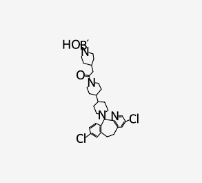 CB(O)N1CCC(CC(=O)N2CCC(C3CCN(C4c5ccc(Cl)cc5CCc5cc(Cl)cnc54)CC3)CC2)CC1